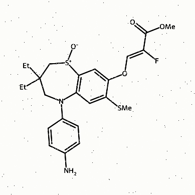 CCC1(CC)CN(c2ccc(N)cc2)c2cc(SC)c(O/C=C(\F)C(=O)OC)cc2[S+]([O-])C1